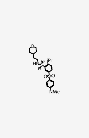 CNc1ccc(S(=O)(=O)c2ccc(C(C)C)c(S(=O)(=O)NCCC3CCOCC3)c2)cc1